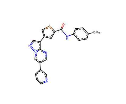 COc1ccc(NC(=O)c2cc(-c3cnn4cc(-c5cccnc5)cnc34)cs2)cc1